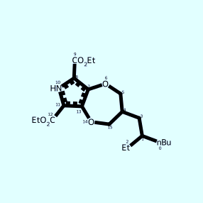 CCCCC(CC)CC1COc2c(C(=O)OCC)[nH]c(C(=O)OCC)c2OC1